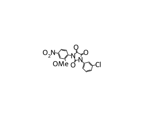 COc1cc([N+](=O)[O-])ccc1N1C(=O)C(=O)N(c2cccc(Cl)c2)C1=O